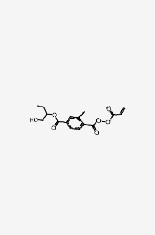 C=CC(=O)OOC(=O)c1ccc(C(=O)OC(CC)CO)cc1C